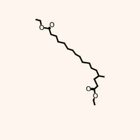 CCOC(=O)CCCCCCCCCCCCC(C)CCC(=O)OCC